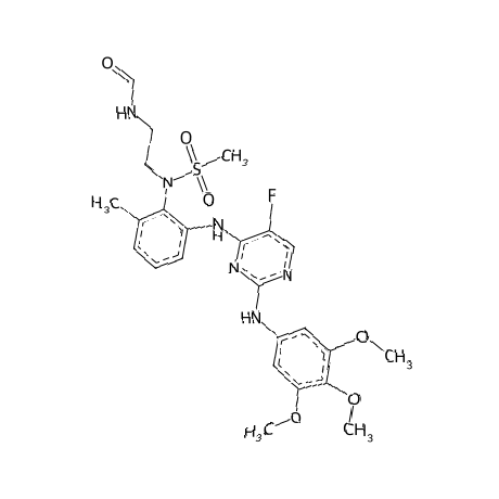 COc1cc(Nc2ncc(F)c(Nc3cccc(C)c3N(CCNC=O)S(C)(=O)=O)n2)cc(OC)c1OC